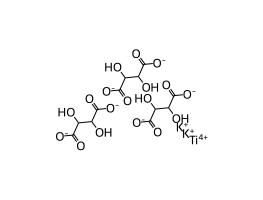 O=C([O-])C(O)C(O)C(=O)[O-].O=C([O-])C(O)C(O)C(=O)[O-].O=C([O-])C(O)C(O)C(=O)[O-].[K+].[K+].[Ti+4]